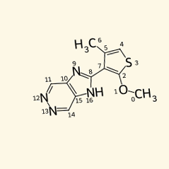 COc1scc(C)c1-c1nc2cnncc2[nH]1